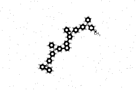 COC1=CCC(N(c2ccccc2)c2ccc(-c3ccc(-n4c5ccccc5c5cc(-c6ccc7c(-c8ccc(N(c9ccccc9)c9ccc(-c%10ccc(-n%11c%12ccccc%12c%12ccccc%12%11)cc%10)cc9)cc8)cccc7c6)ccc54)cc3)cc2)C=C1